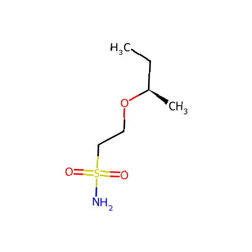 CC[C@@H](C)OCCS(N)(=O)=O